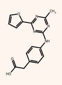 Cc1nc(Nc2ccc(CC(=O)O)cc2)nc(-c2ccco2)n1